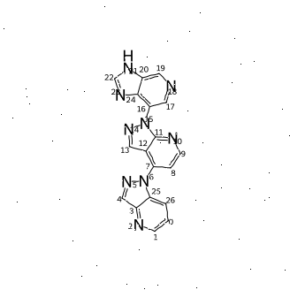 c1cnc2cnn(-c3ccnc4c3cnn4-c3cncc4[nH]cnc34)c2c1